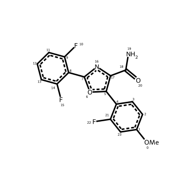 COc1ccc(-c2oc(-c3c(F)cccc3F)nc2C(N)=O)c(F)c1